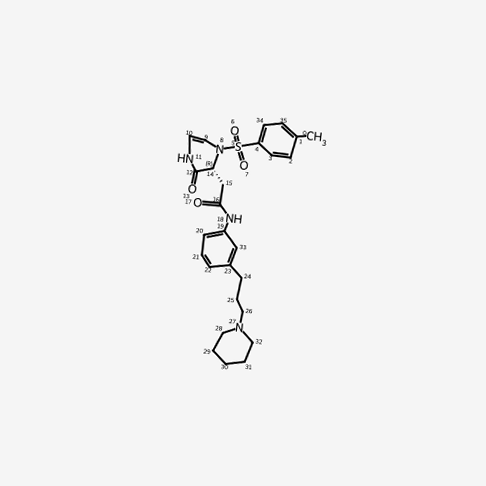 Cc1ccc(S(=O)(=O)N2C=CNC(=O)[C@H]2CC(=O)Nc2cccc(CCCN3CCCCC3)c2)cc1